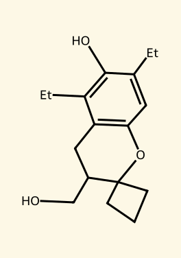 CCc1cc2c(c(CC)c1O)CC(CO)C1(CCC1)O2